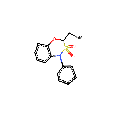 CNCC1Oc2ccccc2N(c2ccccc2)S1(=O)=O